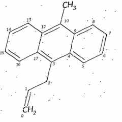 C=CCc1c2ccccc2c(C)c2ccccc12